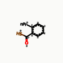 CCCc1ccccc1C(=O)S